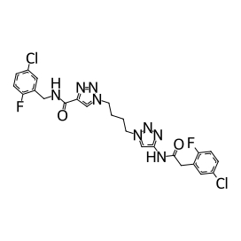 O=C(Cc1cc(Cl)ccc1F)Nc1cn(CCCCn2cc(C(=O)NCc3cc(Cl)ccc3F)nn2)nn1